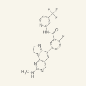 CNc1ncc2c(n1)N1CCN=C1C(c1ccc(F)c(C(=O)Nc3cc(C(F)(F)F)ccn3)c1)=C2